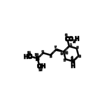 O=C(O)C1CCNC[C@H]1CCCB(O)O